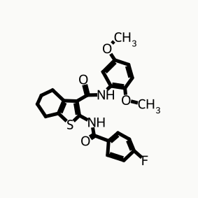 COc1ccc(OC)c(NC(=O)c2c(NC(=O)c3ccc(F)cc3)sc3c2CCCC3)c1